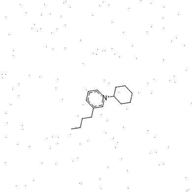 CCCCc1ccc[n+](C2CCCCC2)c1